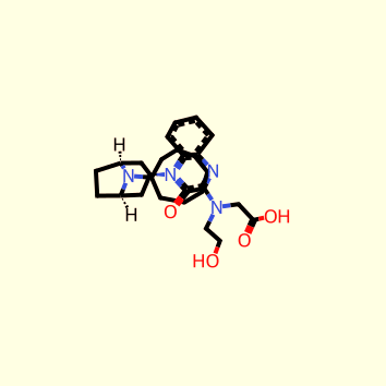 O=C(O)CN(CCO)c1nc2ccccc2n([C@H]2C[C@H]3CC[C@@H](C2)N3C2CCCCCCC2)c1=O